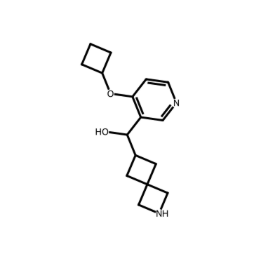 OC(c1cnccc1OC1CCC1)C1CC2(CNC2)C1